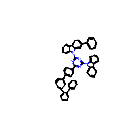 c1ccc(-c2ccc3c4ccccc4n(-c4nc(-c5ccc(-c6cccc(-c7ccccc7-c7ccccc7)c6)cc5)nc(-n5c6ccccc6c6ccccc65)n4)c3c2)cc1